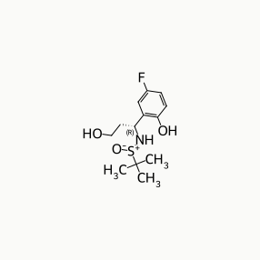 CC(C)(C)[S+]([O-])N[C@H](CCO)c1cc(F)ccc1O